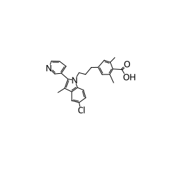 Cc1cc(CCCn2c(-c3cccnc3)c(C)c3cc(Cl)ccc32)cc(C)c1C(=O)O